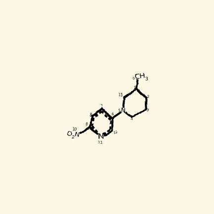 CC1CCCN(c2ccc([N+](=O)[O-])nc2)C1